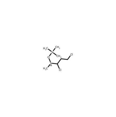 C[SiH](O[Si](C)(C)C)C(Cl)CCCl